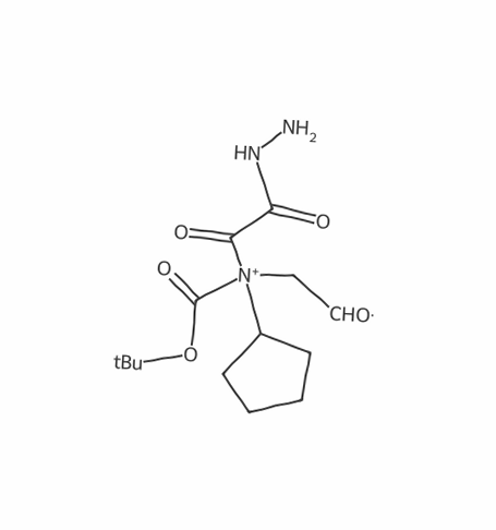 CC(C)(C)OC(=O)[N+](C[C]=O)(C(=O)C(=O)NN)C1CCCC1